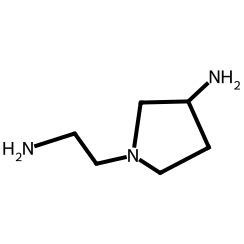 NCCN1CCC(N)C1